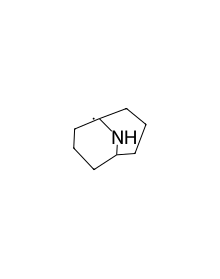 C1C[C]2CCCC(C1)N2